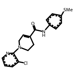 CSc1ccc(NC(=O)C2=CCN(c3ncccc3Cl)CC2)cc1